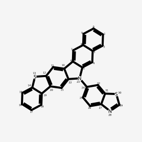 c1ccc2cc3c(cc2c1)c1cc2sc4ccccc4c2cc1n3-c1ccc2ncsc2c1